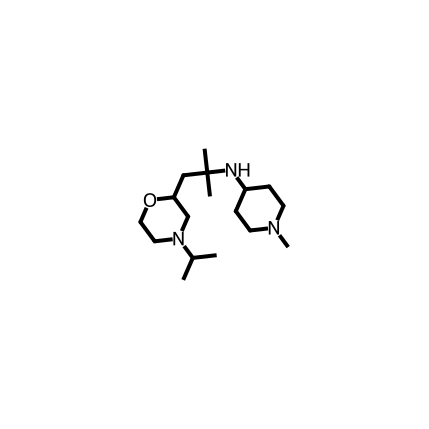 CC(C)N1CCOC(CC(C)(C)NC2CCN(C)CC2)C1